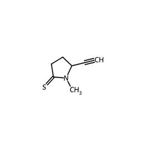 C#CC1CCC(=S)N1C